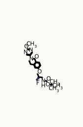 COc1ncc(N2CCc3cc(OC/C(=C/F)CNC(=O)OC(C)(C)C)ccc3C2=O)cn1